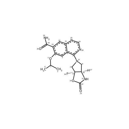 CC(C)Oc1cc2c(N3C[C@H]4NC(=O)O[C@@]4(F)C3)ncnc2cc1C(N)=O